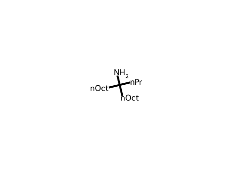 CCCCCCCCC(N)(CCC)CCCCCCCC